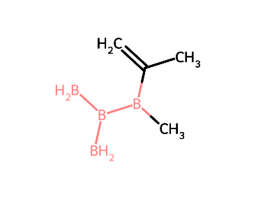 BB(B)B(C)C(=C)C